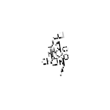 CC#CCN1C(=O)[C@]2(CC(=O)Nc3c2nnn3C(C)c2ccc(Cl)cc2)c2cc(Cl)ccc21